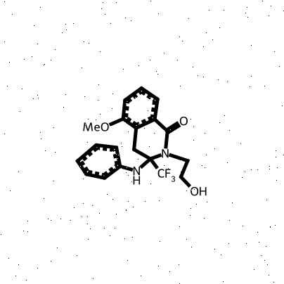 COc1cccc2c1CC(Nc1ccccc1)(C(F)(F)F)N(CCO)C2=O